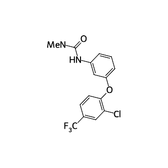 CNC(=O)Nc1cccc(Oc2ccc(C(F)(F)F)cc2Cl)c1